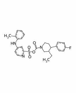 CCC1CN(C(=O)OS(=O)(=O)c2cc(Nc3ccccc3C)ccn2)CCC1c1ccc(F)cc1